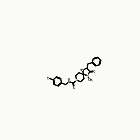 CN1C(=O)C(Cc2ccccc2)NC12CCN(C(=S)NCc1ccc(Cl)cc1)CC2